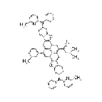 C=C(C=C(C)C)c1cc2c3oc4cc(N(c5ccccc5)c5cccc(C)n5)ccc4c3cc3c(-c4cccc(C)c4)cc4c5oc6cc(N(c7ccccc7)c7cccc(C)n7)ccc6c5cc1c4c32